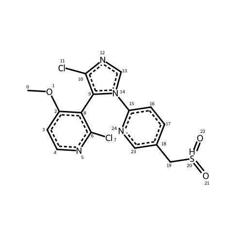 COc1ccnc(Cl)c1-c1c(Cl)ncn1-c1ccc(C[SH](=O)=O)cn1